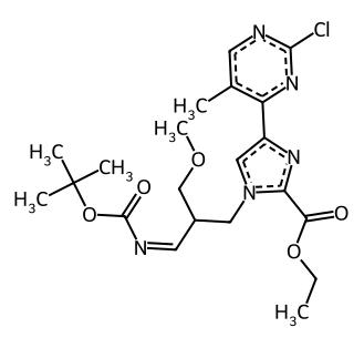 CCOC(=O)c1nc(-c2nc(Cl)ncc2C)cn1CC(/C=N\C(=O)OC(C)(C)C)COC